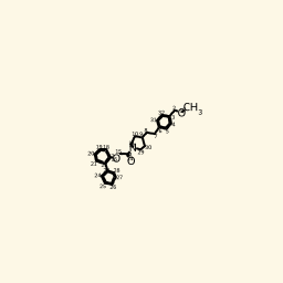 COCc1ccc(CCC2CCN(C(=O)COc3ccccc3-c3ccccc3)CC2)cc1